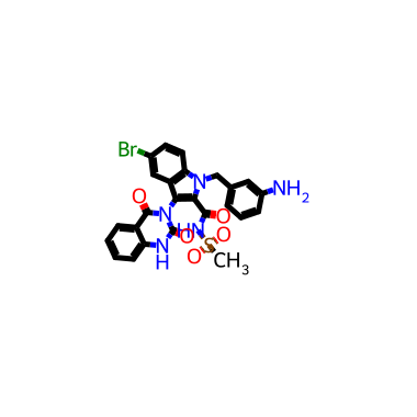 CS(=O)(=O)NC(=O)c1c(-n2c(=O)[nH]c3ccccc3c2=O)c2cc(Br)ccc2n1Cc1cccc(N)c1